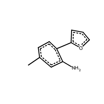 Cc1ccc(-c2ccco2)c(N)c1